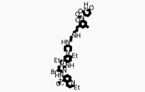 CCOc1cc(N2CCC(NCCNCCCc3cc(C)cc4c3oc(=O)n4C3CCC(=O)NC3=O)CC2)c(CC)cc1Nc1ncc(Br)c(Nc2ccc3nc(CC)ccc3c2P(C)(C)=O)n1